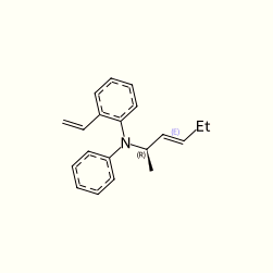 C=Cc1ccccc1N(c1ccccc1)[C@H](C)/C=C/CC